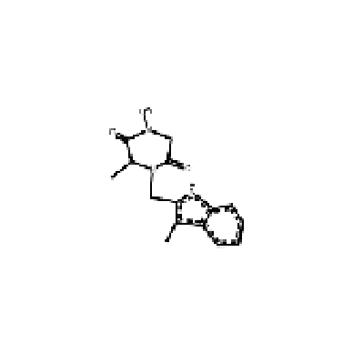 CCCN1CC(=O)N(Cc2[nH]c3ccccc3c2C)C(C)C1=O